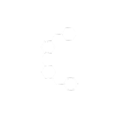 c1ccc(CN2CCC(Oc3ccc(CN4CCOCC4)cc3)CC2)cc1